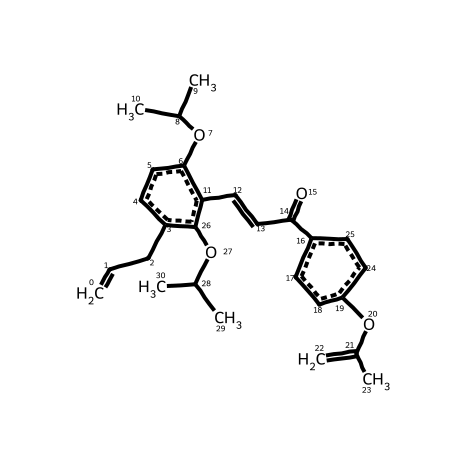 C=CCc1ccc(OC(C)C)c(C=CC(=O)c2ccc(OC(=C)C)cc2)c1OC(C)C